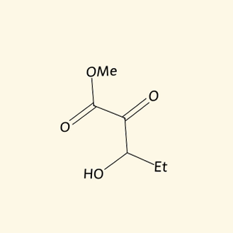 CCC(O)C(=O)C(=O)OC